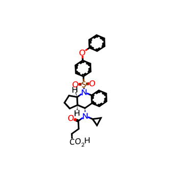 O=C(O)CCC(=O)N(C1CC1)[C@H]1c2ccccc2N(S(=O)(=O)c2ccc(Oc3ccccc3)cc2)[C@@H]2CCC[C@@H]21